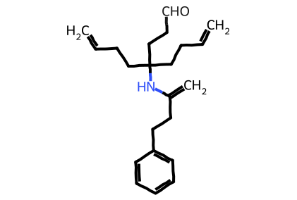 C=CCCC(CCC=C)(CCC=O)NC(=C)CCc1ccccc1